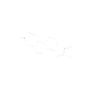 O=C1C=Cc2c(ccc3c4c(ccc23)C2=CC=CC2=C4)C1